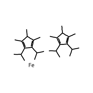 CC1=C(C(C)C)C(C(C)C)=C(C)C1C.CC1=C(C(C)C)C(C(C)C)=C(C)C1C.[Fe]